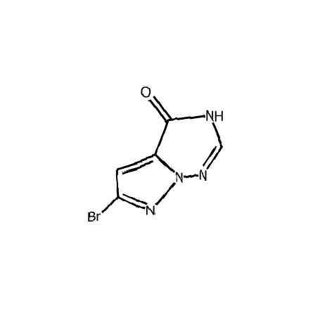 O=c1[nH]cnn2nc(Br)cc12